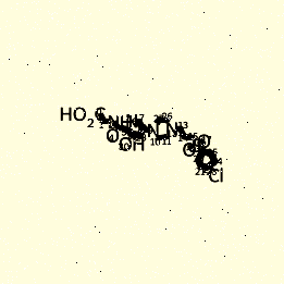 O=C(O)CNC(=O)c1ncc(N2CCN(CCCS(=O)(=O)c3ccc(Cl)cc3)CC2)cc1O